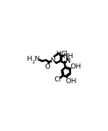 Cl.NCCC(=O)N1CCc2[nH]nc(-c3cc(Cl)c(O)cc3O)c2C1